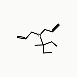 C=CCN(CC=C)C(C)(CC)CC